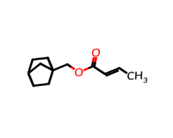 CC=CC(=O)OCC12CCC(CC1)C2